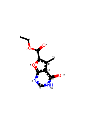 CCOC(=O)c1oc2nc[nH]c(=O)c2c1C